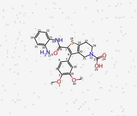 COc1ccc(-c2c(C(=O)Nc3ccccc3N)sc3c2CN(C(=O)O)CC3)cc1OC